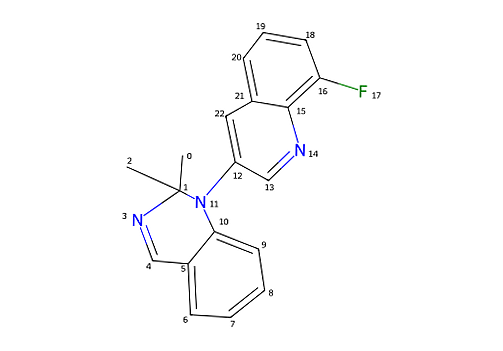 CC1(C)N=Cc2ccccc2N1c1cnc2c(F)cccc2c1